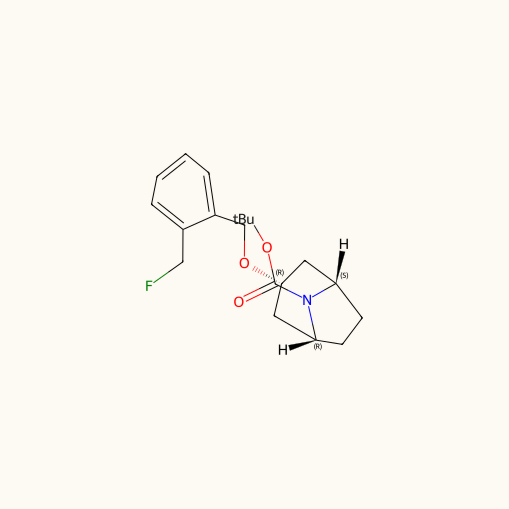 CC(C)(C)OC(=O)N1[C@@H]2CC[C@H]1C[C@@H](OCc1ccccc1CF)C2